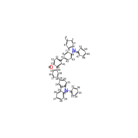 Cc1ccc2c(c1)c1cc(-c3ccc4oc5ccc(-c6ccc7c(c6)c6ccccc6n7-c6ccccc6)cc5c4c3)ccc1n2-c1ccccc1